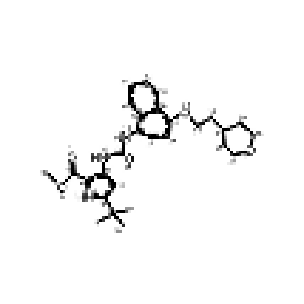 COC(=O)c1[nH]c(C(C)(C)C)cc1NC(=O)Nc1ccc(OCCC2CCOCC2)c2ccccc12